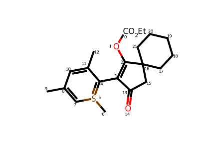 CCOC(=O)OC1=C(C2=S(C)C=C(C)C=C2C)C(=O)CC12CCCCC2